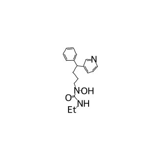 CCNC(=O)N(O)CCCC(c1ccccc1)c1cccnc1